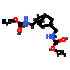 COC(=O)NCC1CC2CC(CNC(=O)OC)C1C2